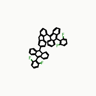 Fc1cccc(F)c1C1=C2C=CC=CC2C(c2ccc3c(c2)Cc2cccc(-c4c5ccccc5c(-c5c(F)cccc5F)c5ccccc45)c2-3)c2ccccc21